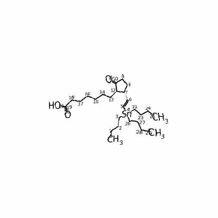 CCC[CH2][Sn]([CH]=C[C@H]1CCC(=O)[C@@H]1CCCCCCC(=O)O)([CH2]CCC)[CH2]CCC